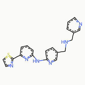 c1cncc(CNCc2ccc(Nc3cccc(-c4nccs4)n3)nc2)c1